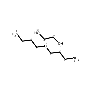 NCCCOCCCN.OCCO